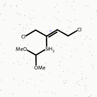 COC(OC)[SiH2]/C(=C\CCl)CCl